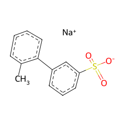 Cc1ccccc1-c1cccc(S(=O)(=O)[O-])c1.[Na+]